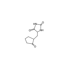 O=C1NC(=O)C(CC2CCCC2=O)N1